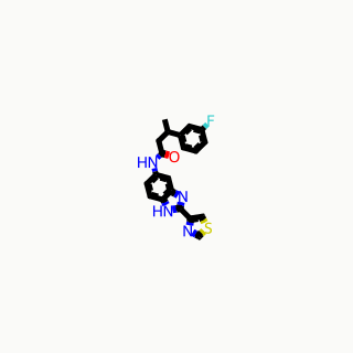 CC(CC(=O)Nc1ccc2[nH]c(-c3cscn3)nc2c1)c1cccc(F)c1